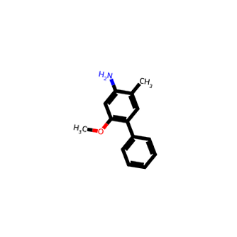 COc1cc(N)c(C)cc1-c1ccccc1